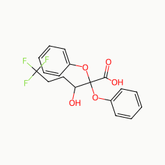 O=C(O)C(Oc1ccccc1)(Oc1ccccc1)C(O)CCC(F)(F)F